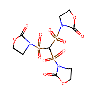 O=C1OCCN1S(=O)(=O)C(S(=O)(=O)N1CCOC1=O)S(=O)(=O)N1CCOC1=O